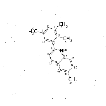 Cc1cc(C)c(C)c(-c2ccc3cc(C)ccc3n2)c1